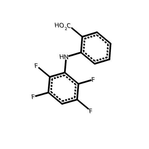 O=C(O)c1ccccc1Nc1c(F)c(F)cc(F)c1F